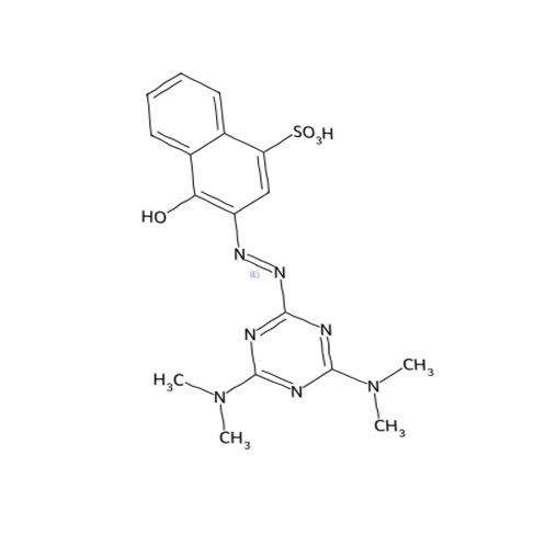 CN(C)c1nc(/N=N/c2cc(S(=O)(=O)O)c3ccccc3c2O)nc(N(C)C)n1